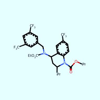 CCOC(=O)N(Cc1cc(C(F)(F)F)cc(C(F)(F)F)c1)C1CC(C(C)C)N(C(=O)OC(C)C)c2ccc(C(F)(F)F)cc21